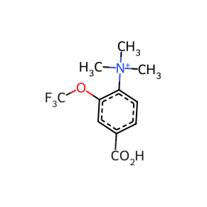 C[N+](C)(C)c1ccc(C(=O)O)cc1OC(F)(F)F